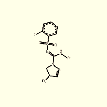 CCC1C=NN(/C(=N/S(=O)(=O)c2ccccc2Cl)NC(C)C)C1